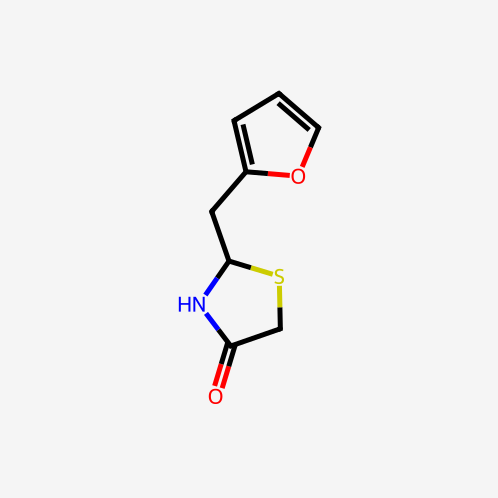 O=C1CSC(Cc2ccco2)N1